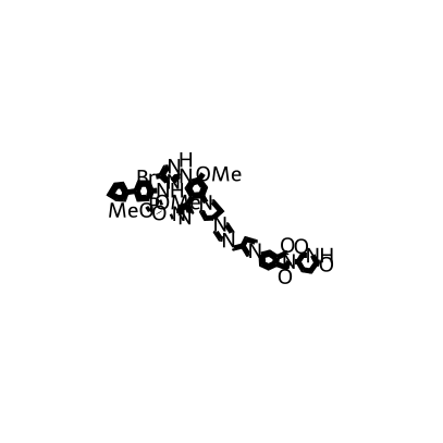 COc1cc(N2CCC(N3CCN(CC4CCN(c5ccc6c(c5)C(=O)N(C5CCC(=O)NC5=O)C6=O)C4)CC3)CC2)c(-c2cnn(C)c2)cc1Nc1ncc(Br)c(Nc2ccc(-c3ccccc3)cc2P(=O)(OC)OC)n1